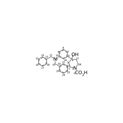 O=C(O)N1CCC(O)(c2cccc(N(Cc3ccccc3)Cc3ccccc3)c2)CC1